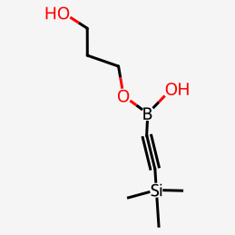 C[Si](C)(C)C#CB(O)OCCCO